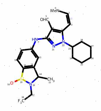 CN/C=C\c1c(C=O)c(Nc2ccc3c(c2)C(C)N(CC(F)(F)F)[S+]3[O-])nn1C1CCCCC1